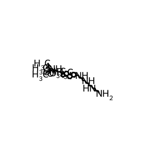 CCC(C)C(NC(=O)CCCC1CCC2C3CCC4CC(NCCCNCCCCNCCCN)CCC4(C)C3CCC12C)C(=O)OC